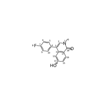 Cn1cc(-c2ccc(F)cc2)c2cc(O)ccc2c1=O